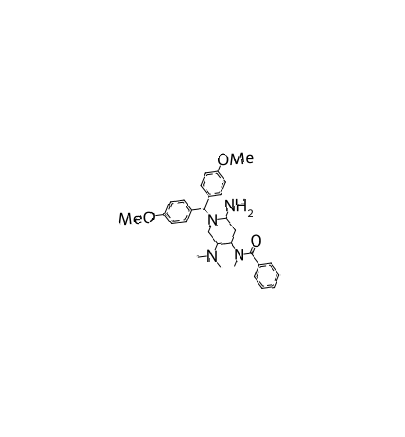 COc1ccc(C(c2ccc(OC)cc2)N2CC(N(C)C)C(N(C)C(=O)c3ccccc3)CC2N)cc1